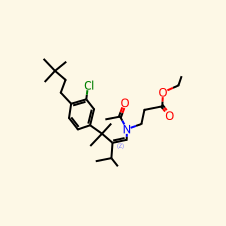 CCOC(=O)CCN(/C=C(/C(C)C)C(C)(C)c1ccc(CCC(C)(C)C)c(Cl)c1)C(C)=O